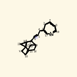 C1=CCC(C/C=C/C2C3CC4CC5(CC25)C4C3)=CN=C1